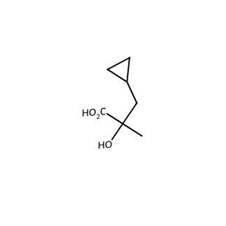 CC(O)(CC1CC1)C(=O)O